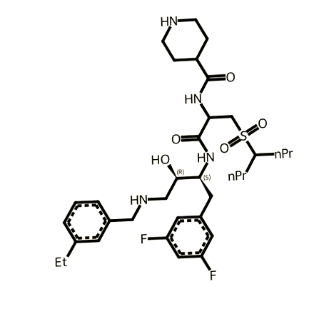 CCCC(CCC)S(=O)(=O)CC(NC(=O)C1CCNCC1)C(=O)N[C@@H](Cc1cc(F)cc(F)c1)[C@H](O)CNCc1cccc(CC)c1